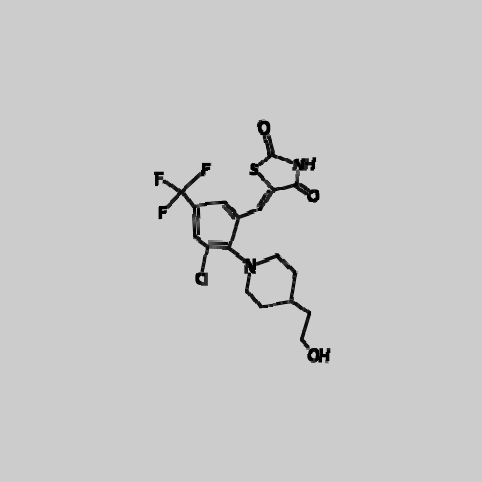 O=C1NC(=O)C(=Cc2cc(C(F)(F)F)cc(Cl)c2N2CCC(CCO)CC2)S1